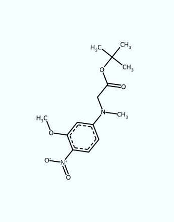 COc1cc(N(C)CC(=O)OC(C)(C)C)ccc1[N+](=O)[O-]